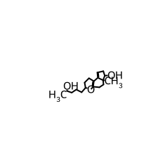 CC(O)CCCC1CCC2=C(CCC3(C)C2=CCC3O)O1